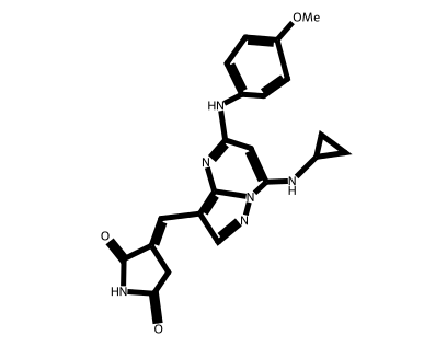 COc1ccc(Nc2cc(NC3CC3)n3ncc(/C=C4\CC(=O)NC4=O)c3n2)cc1